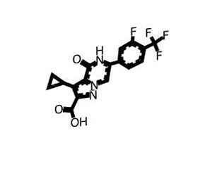 O=C(O)c1nn2cc(-c3ccc(C(F)(F)F)c(F)c3)[nH]c(=O)c2c1C1CC1